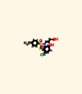 Cc1ccc(S(=O)(=O)N(CC(O)CO)c2cccc(Cl)c2F)cc1